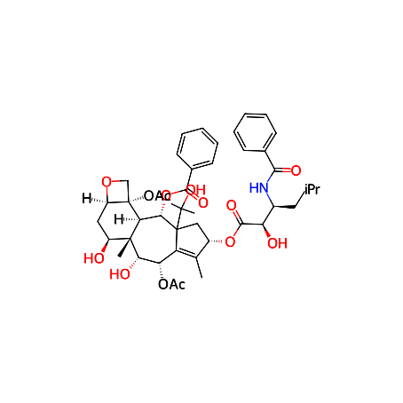 CC(=O)O[C@H]1C2=C(C)[C@@H](OC(=O)[C@H](O)[C@H](CC(C)C)NC(=O)c3ccccc3)CC2(C(C)(C)O)[C@@H](OC(=O)c2ccccc2)[C@@H]2[C@]3(OC(C)=O)CO[C@@H]3C[C@H](O)[C@@]2(C)[C@H]1O